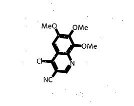 COc1cc2c(Cl)c(C#N)cnc2c(OC)c1OC